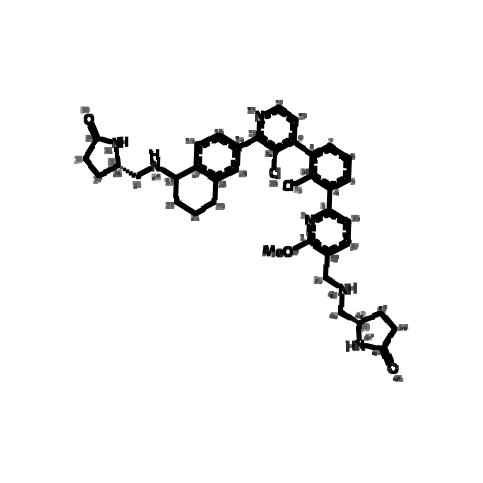 COc1nc(-c2cccc(-c3ccnc(-c4ccc5c(c4)CCCC5NC[C@@H]4CCC(=O)N4)c3Cl)c2Cl)ccc1CNC[C@H]1CCC(=O)N1